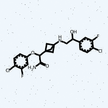 NC(=O)C(Oc1ccc(Cl)c(F)c1)C12CC(NCC(O)c3ccc(Cl)c(F)c3)(C1)C2